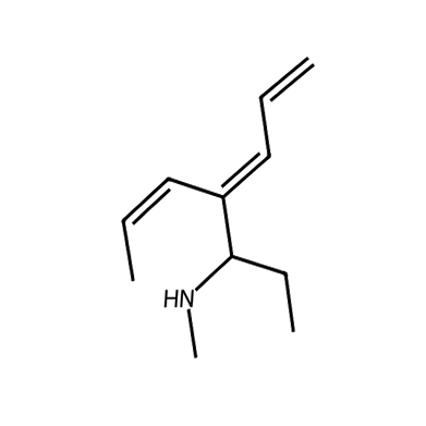 C=C/C=C(\C=C/C)C(CC)NC